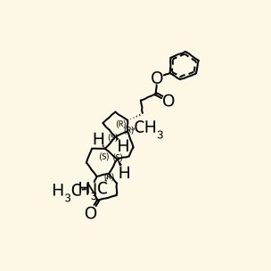 CN1C(=O)CC[C@@]2(C)C1CC[C@H]1[C@@H]3CC[C@H](CCC(=O)Oc4ccccc4)[C@@]3(C)CC[C@@H]12